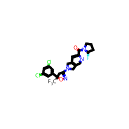 O=C(c1cc2c(cn1)CN(C1=NOC(c3cc(Cl)cc(Cl)c3)(C(F)(F)F)C1)C2)N1CCCC1F